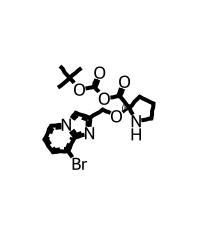 CC(C)(C)OC(=O)OC(=O)[C@]1(OCc2cn3cccc(Br)c3n2)CCCN1